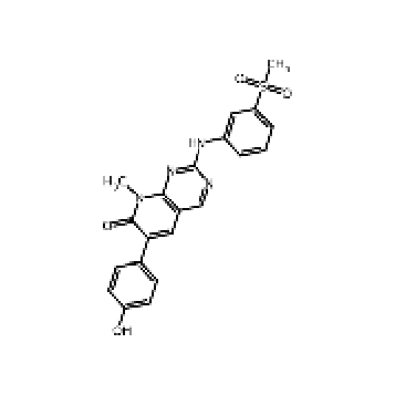 Cn1c(=O)c(-c2ccc(O)cc2)cc2cnc(Nc3cccc(S(C)(=O)=O)c3)nc21